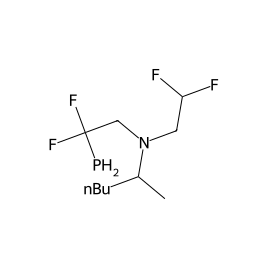 CCCCC(C)N(CC(F)F)CC(F)(F)P